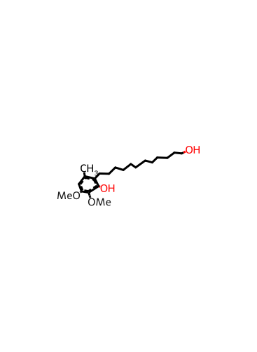 COc1cc(C)c(CCCCCCCCCCCCO)c(O)c1OC